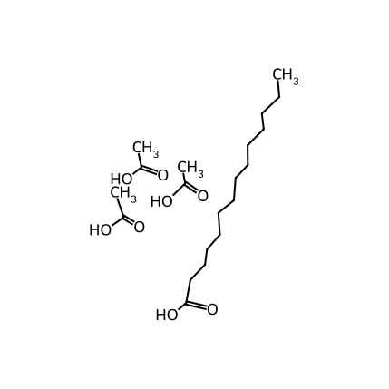 CC(=O)O.CC(=O)O.CC(=O)O.CCCCCCCCCCCCCC(=O)O